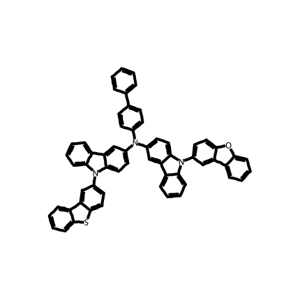 c1ccc(-c2ccc(N(c3ccc4c(c3)c3ccccc3n4-c3ccc4oc5ccccc5c4c3)c3ccc4c(c3)c3ccccc3n4-c3ccc4sc5ccccc5c4c3)cc2)cc1